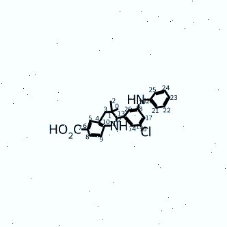 CC1(C)Cc2cc(C(=O)O)ccc2NC1c1cc(Cl)cc(Nc2ccccc2)c1